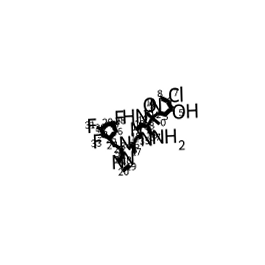 CC1(c2cc(O)c(Cl)cn2)C(=O)Nc2nc(-c3cn4ccnc4c(Cc4cc(F)cc(F)c4F)n3)nc(N)c21